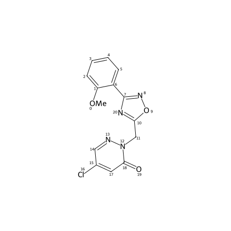 COc1ccccc1-c1noc(Cn2ncc(Cl)cc2=O)n1